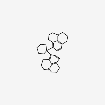 c1cc(C2(c3ccc4c5c3CCCN5CCC4)CCCCC2)c2c3c1CCCN3CCC2